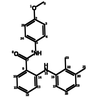 COc1ccc(NC(=O)c2ccccc2Nc2cccc(C)c2C)cc1